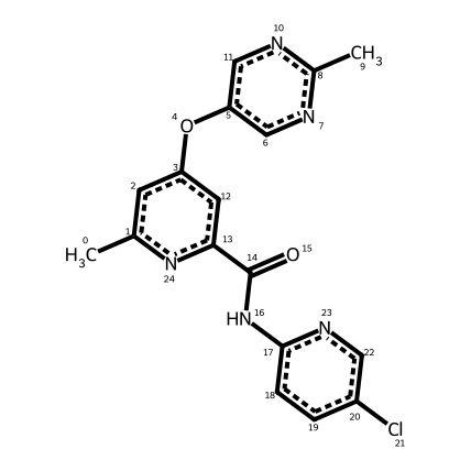 Cc1cc(Oc2cnc(C)nc2)cc(C(=O)Nc2ccc(Cl)cn2)n1